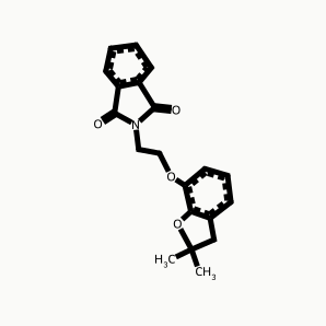 CC1(C)Cc2cccc(OCCN3C(=O)c4ccccc4C3=O)c2O1